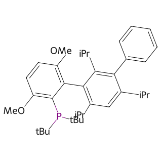 COc1ccc(OC)c(P(C(C)(C)C)C(C)(C)C)c1-c1c(C(C)C)cc(C(C)C)c(-c2ccccc2)c1C(C)C